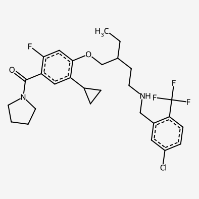 CCC(CCNCc1cc(Cl)ccc1C(F)(F)F)COc1cc(F)c(C(=O)N2CCCC2)cc1C1CC1